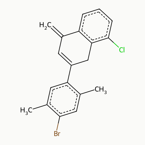 C=C1C=C(c2cc(C)c(Br)cc2C)Cc2c(Cl)cccc21